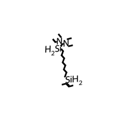 CC=C(C)[SiH2]CCCCCCCC[SiH2]C(N(CC)CC)N(CC)CC